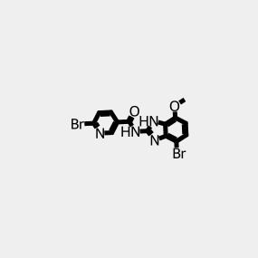 COc1ccc(Br)c2nc(NC(=O)c3ccc(Br)nc3)[nH]c12